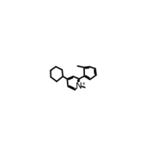 Cc1ccccc1-c1cc(C2CCCCC2)cc[n+]1C